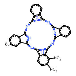 O=[N+]([O-])c1ccc2c3nc4nc(nc5[nH]c(nc6nc(nc([nH]3)c2c1[N+](=O)[O-])-c1ccccc1-6)c1ccccc51)-c1ccccc1-4.[Cu+2]